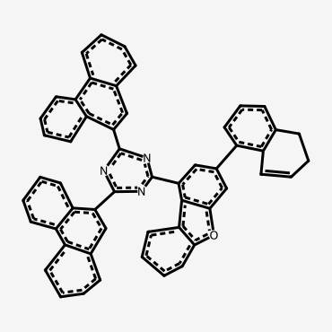 C1=Cc2c(cccc2-c2cc(-c3nc(-c4cc5ccccc5c5ccccc45)nc(-c4cc5ccccc5c5ccccc45)n3)c3c(c2)oc2ccccc23)CC1